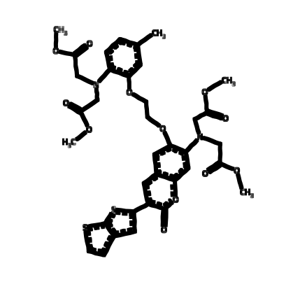 COC(=O)CN(CC(=O)OC)c1ccc(C)cc1OCCOc1cc2cc(-c3cc4ccsc4s3)c(=O)oc2cc1N(CC(=O)OC)CC(=O)OC